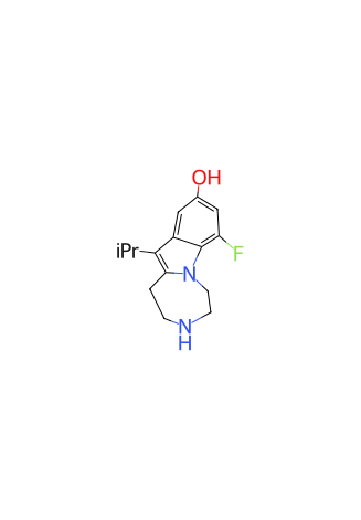 CC(C)c1c2n(c3c(F)cc(O)cc13)CCNCC2